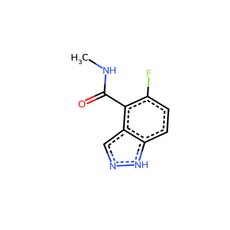 CNC(=O)c1c(F)ccc2[nH]ncc12